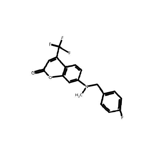 CN(Cc1ccc(F)cc1)c1ccc2c(C(F)(F)F)cc(=O)oc2c1